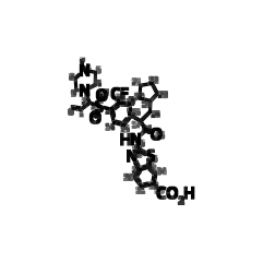 C=CC(N1CCN(C)CC1)S(=O)(=O)c1ccc(C(CC2CCCC2)C(=O)Nc2nc3ccc(C(=O)O)cc3s2)cc1C(F)(F)F